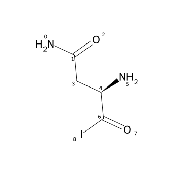 NC(=O)C[C@@H](N)C(=O)I